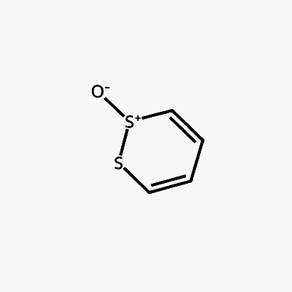 [O-][S+]1C=CC=CS1